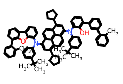 Cc1ccccc1-c1cccc(-c2cccc(N(c3cccc(C(C)(C)C)c3)c3cc(C4CCCC4)c4ccc5c(N(c6cccc(C(C)(C)C)c6)c6cccc7c6oc6c(-c8ccccc8C)cccc67)cc(C6CCCC6)c6ccc3c4c65)c2O)c1